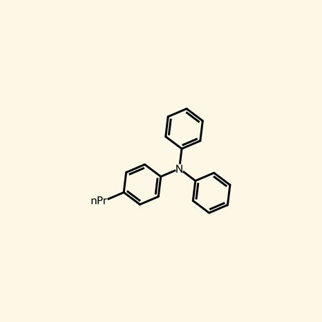 [CH2]CCc1ccc(N(c2ccccc2)c2ccccc2)cc1